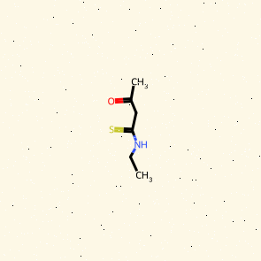 CCNC(=S)CC(C)=O